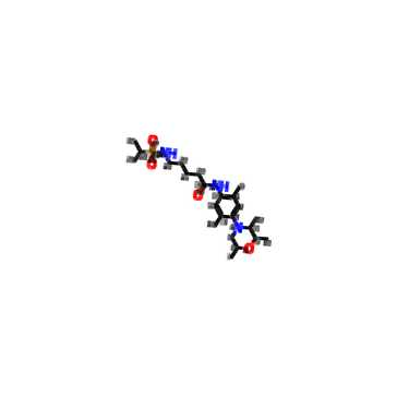 Cc1cc(N2CC(C)OC(C)C2C)c(C)cc1NC(=O)CCCCNS(=O)(=O)C(C)C